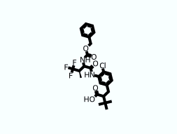 C[C@H](C(NC(=O)OCc1ccccc1)C(=O)Nc1cc(CC(C(=O)O)C(C)(C)C)ccc1Cl)C(F)(F)F